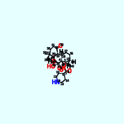 C=C1C(=O)[C@]23[C@H](OC(=O)C4CCNCC4)[C@H]1CC[C@H]2[C@@]12CO[C@@]3(O)[C@@H](O)[C@@H]1C(C)(C)CCC2=O